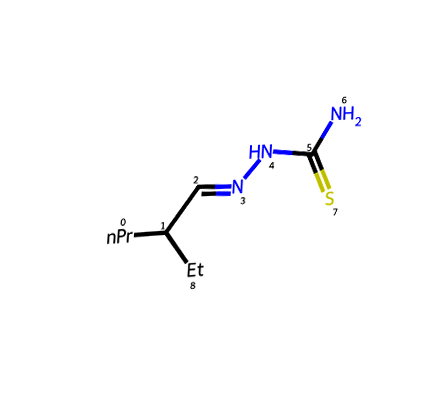 CCCC(C=NNC(N)=S)CC